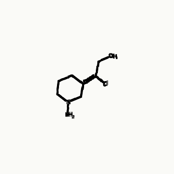 BN1CCC/C(=C(/Cl)CO)C1